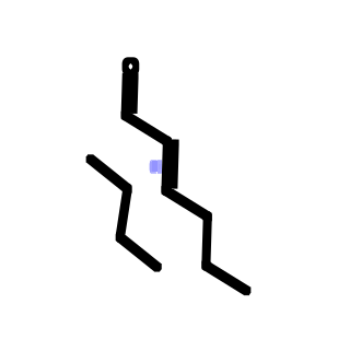 CCC/C=C/C=O.CCCC